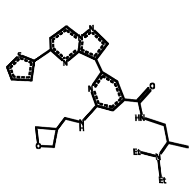 CCN(CC)C(C)CNC(=O)c1cc(NCC2COC2)nc(-c2cnn3ccc(-c4cccs4)nc23)c1